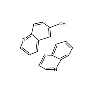 Oc1ccc2ncccc2c1.c1ccc2ncccc2c1